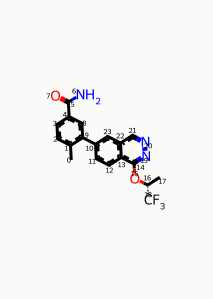 Cc1ccc(C(N)=O)cc1-c1ccc2c(O[C@H](C)C(F)(F)F)nncc2c1